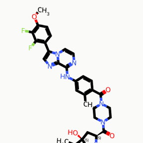 CC[C@@]1(O)CN[C@H](C(=O)N2CCN(C(=O)c3ccc(Nc4nccn5c(-c6ccc(OC)c(F)c6F)cnc45)cc3C)CC2)C1